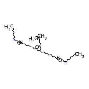 CCCCCC/C=C\CON=CCCCCCCCCC(CCCCCCCCC=NOC/C=C\CCCCCC)CC(=O)CCCN(C)C